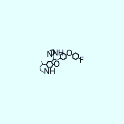 CC1CCCNc2cc3oc(-c4ccc(Oc5ccc(F)cc5)cc4)c(-c4ncc[nH]4)c3cc21